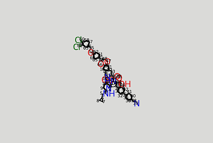 Cc1nc(NCC2CC2)ccc1S(=O)(=O)N1Cc2cc3c(cc2C[C@H]1C(=O)NC(Cc1ccc(-c2ccc(C#N)cc2)cc1)C(=O)O)OC[C@H](c1ccc(OCc2ccc(Cl)c(Cl)c2)cc1)O3